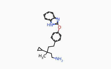 CC(CCN)(CCc1ccc(Oc2nc3ccccc3[nH]2)cc1)C1CC1